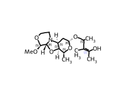 CO[C@H]1OCCN2[C@@H]1O[C@@H]1[C@H](C)O[C@@H](O[C@@H](C)/C(C)=C(/C)O)C[C@@H]12